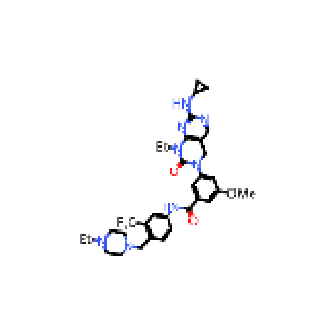 CCN1CCN(Cc2ccc(NC(=O)c3cc(OC)cc(N4Cc5cnc(NC6CC6)nc5N(CC)C4=O)c3)cc2C(F)(F)F)CC1